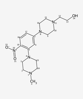 CN1CCN(c2cc(N3CCN(CCO)CC3)ccc2[N+](=O)[O-])CC1